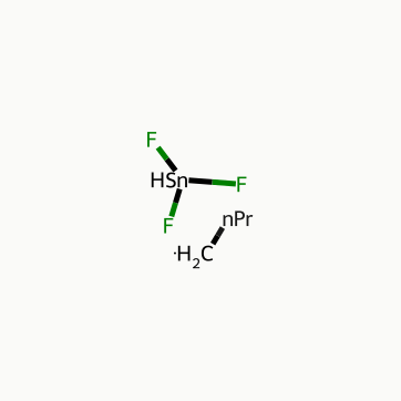 [CH2]CCC.[F][SnH]([F])[F]